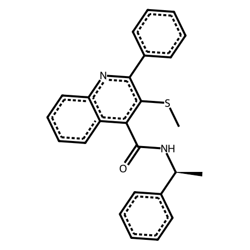 CSc1c(-c2ccccc2)nc2ccccc2c1C(=O)N[C@@H](C)c1ccccc1